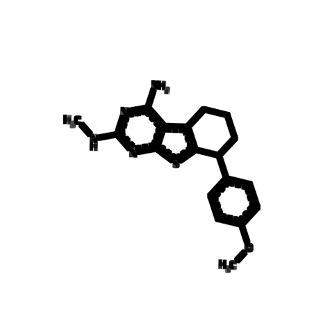 CNc1nc(N)c2c3c(sc2n1)C(c1ccc(OC)cc1)CCC3